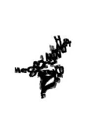 COc1ncc(-c2ccc3nc(NC(=O)C(C)C)cn3n2)cc1C(=O)NCc1cc(F)cc(F)c1OC1CCOCC1